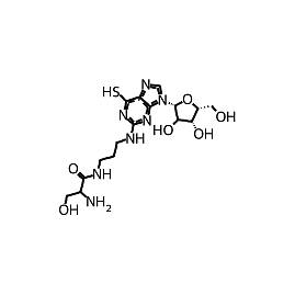 NC(CO)C(=O)NCCCNc1nc(S)c2ncn([C@@H]3O[C@H](CO)[C@H](O)C3O)c2n1